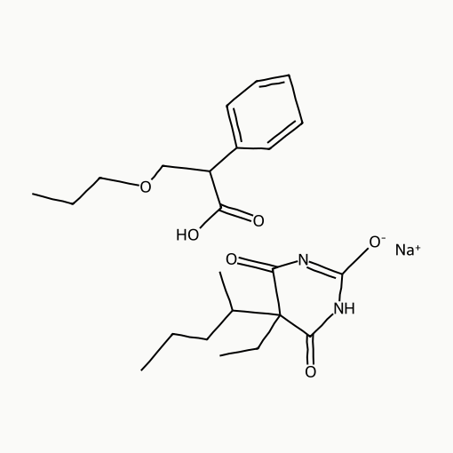 CCCC(C)C1(CC)C(=O)N=C([O-])NC1=O.CCCOCC(C(=O)O)c1ccccc1.[Na+]